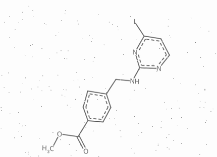 COC(=O)c1ccc(CNc2nccc(I)n2)cc1